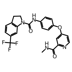 CNC(=O)c1cc(Oc2ccc(NC(=O)N3CCc4ccc(C(F)(F)F)cc43)cc2)ccn1